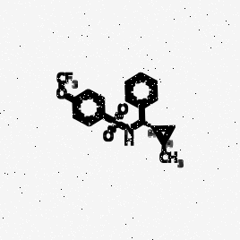 C[C@@H]1C[C@H]1C(NS(=O)(=O)c1ccc(OC(F)(F)F)cc1)c1ccccc1